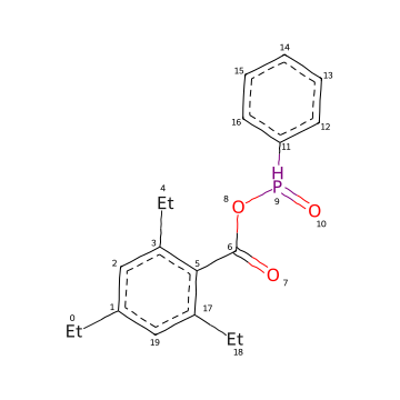 CCc1cc(CC)c(C(=O)O[PH](=O)c2ccccc2)c(CC)c1